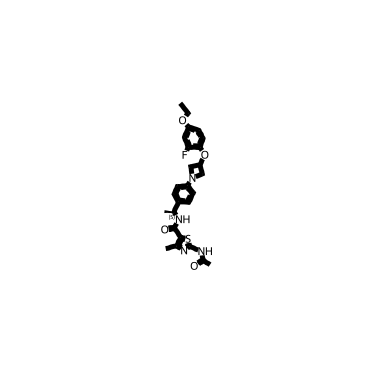 CCOc1ccc(OC2CN(c3ccc([C@H](C)NC(=O)c4sc(NC(C)=O)nc4C)cc3)C2)c(F)c1